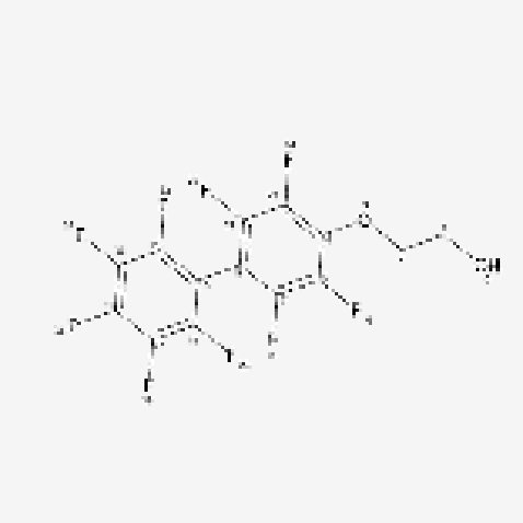 OCCOc1c(F)c(F)c(-c2c(F)c(F)c(F)c(F)c2F)c(F)c1F